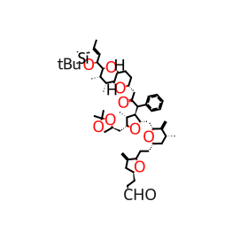 C=C1C[C@H](CCC=O)OC1CC[C@H]1C[C@@H](C)C(=C)[C@@H](C[C@@H]2O[C@H](C[C@H]3COC(C)(C)O3)[C@H](C)[C@H]2C(C(=O)C[C@H]2CC[C@@H]3O[C@@H]([C@H](/C=C/C)O[Si](C)(C)C(C)(C)C)[C@@H](C)[C@@H](C)[C@H]3O2)c2ccccc2)O1